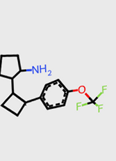 NC1CCCC1C1CC[C]1c1ccc(OC(F)(F)F)cc1